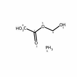 O=C(O)C(=O)OCO.P